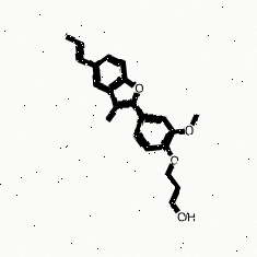 CC=Cc1ccc2oc(-c3ccc(OCCCO)c(OC)c3)c(C)c2c1